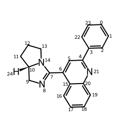 c1ccc(-c2cc(C3=NC[C@@H]4CCCN34)c3ccccc3n2)cc1